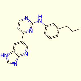 CCCc1cccc(Nc2nccc(-c3cnc4nc[nH]c4c3)n2)c1